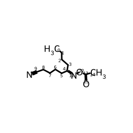 CCCC/C(CCCCC#N)=N\OC(C)=O